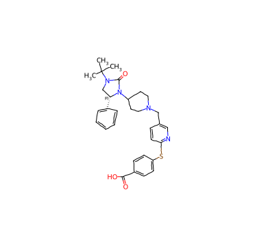 CC(C)(C)N1C[C@@H](c2ccccc2)N(C2CCN(Cc3ccc(Sc4ccc(C(=O)O)cc4)nc3)CC2)C1=O